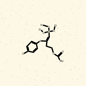 CCO[Si](/C=C(/CCOC(=O)C(C)(C)C)Sc1ccc(Cl)cc1)(OCC)OCC